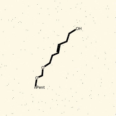 CCCCCOCOCCC=CCCO